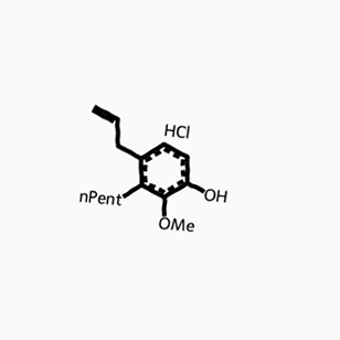 C=CCc1ccc(O)c(OC)c1CCCCC.Cl